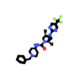 O=C(NC1CCN(Cc2ccccc2)CC1)N1C[C@@H]2C[C@H]1CN2c1ncc(C(F)(F)F)cn1